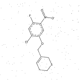 O=[N+]([O-])c1cc(OCC2=CCCSC2)c(Cl)cc1F